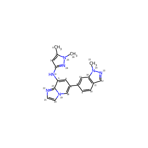 Cc1cc(Nc2cc(-c3ccc4cnn(C)c4c3)cn3ccnc23)nn1C